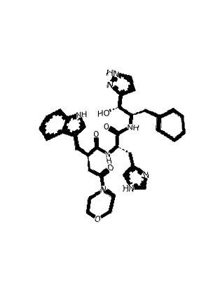 O=C(N[C@@H](Cc1c[nH]cn1)C(=O)N[C@H](CC1CCCCC1)[C@H](O)c1cc[nH]n1)[C@@H](CC(=O)N1CCOCC1)Cc1c[nH]c2ccccc12